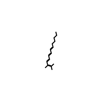 CCCCCC=CC=CC=CC(C)=C(C)C